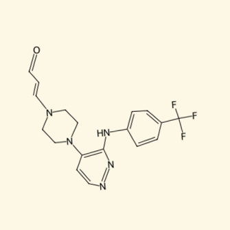 O=CC=CN1CCN(c2ccnnc2Nc2ccc(C(F)(F)F)cc2)CC1